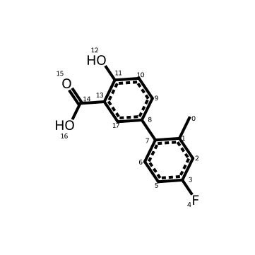 Cc1cc(F)ccc1-c1ccc(O)c(C(=O)O)c1